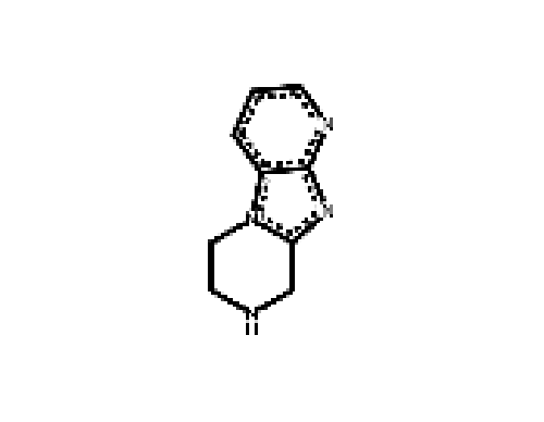 c1cnc2nc3n(c2c1)CCNC3